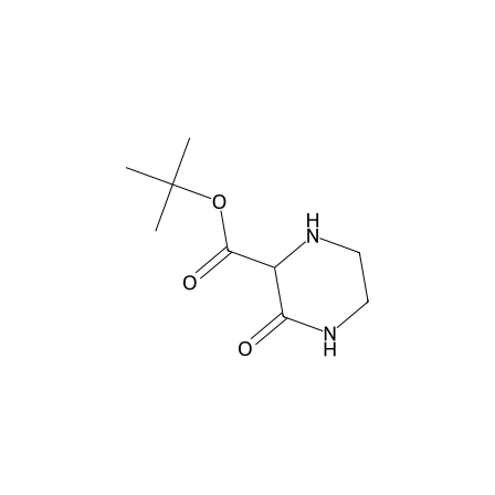 CC(C)(C)OC(=O)C1NCCNC1=O